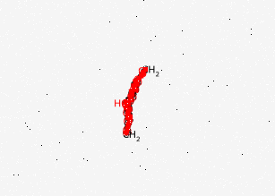 C=CC(=O)OCCCCOC(=O)Oc1ccc(C(=O)Oc2ccc(C(=O)O[C@H]3COC([C@@H](CO)OC(=O)c4ccc(OC(=O)c5ccc(OC(=O)OCCCCOC(=O)C=C)cc5)cc4)C3)cc2)cc1